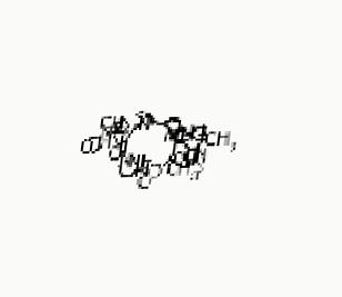 CCn1c(-c2cccnc2[C@H](C)OC)c2c3cc(ccc31)-c1csc(n1)C[C@H](NC(=O)N(C)[C@H]1CCOC1)C(=O)N1CCC[C@H](N1)C(=O)OCC(C)(C)C2